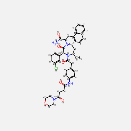 C[C@@H]1CCN([C@H](Cc2cccc3ccccc23)C(N)=O)C(=O)[C@H](c2cccc(Cl)c2)N1C(=O)Cc1ccc(NC(=O)CCC(=O)N2CCOCC2)cc1